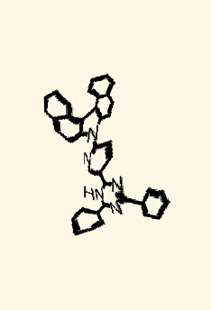 c1ccc(C2=NC(c3ccc(-n4c5ccc6ccccc6c5c5c6ccccc6ccc54)nc3)NC(c3ccccc3)=N2)cc1